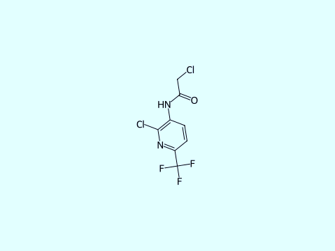 O=C(CCl)Nc1ccc(C(F)(F)F)nc1Cl